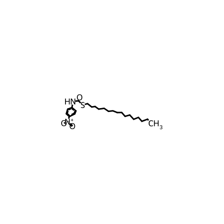 CCCCCCCCCCCCCCCCSC(=O)Nc1ccc([N+](=O)[O-])cc1